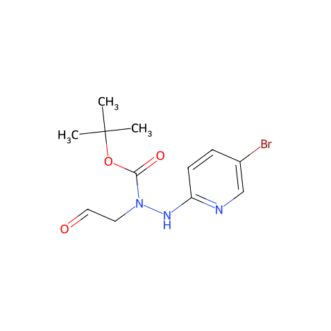 CC(C)(C)OC(=O)N(CC=O)Nc1ccc(Br)cn1